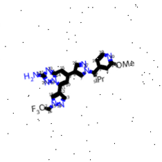 COc1cc(C(C(C)C)n2cc(-c3cc(-c4cnn(CC(F)(F)F)c4)n4nc(N)nc4c3)cn2)ccn1